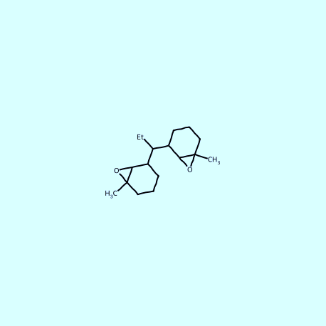 CCC(C1CCCC2(C)OC12)C1CCCC2(C)OC12